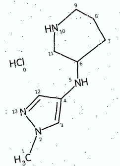 Cl.Cn1cc(NC2CCCNC2)cn1